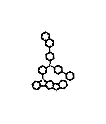 c1ccc(-c2ccc(N(c3ccc(-c4ccc5ccccc5c4)cc3)c3cccc(-n4c5ccccc5c5cc6sc7ccccc7c6cc54)c3)cc2)cc1